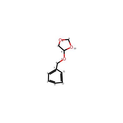 c1ccc(COC2COCO2)cc1